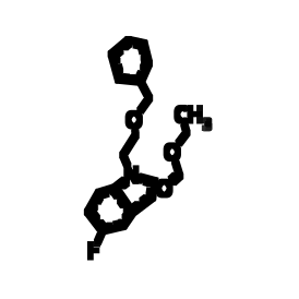 CCOC=O.Fc1ccc2c(ccn2CCOCc2ccccc2)c1